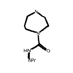 CCCNC(=O)N1CC[N]CC1